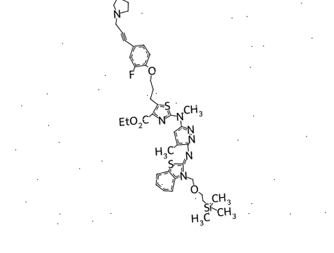 CCOC(=O)c1nc(N(C)c2cc(C)c(/N=c3\sc4ccccc4n3COCC[Si](C)(C)C)nn2)sc1CCCOc1ccc(C#CCN2CCCC2)cc1F